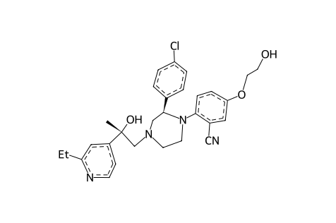 CCc1cc([C@](C)(O)CN2CCN(c3ccc(OCCO)cc3C#N)[C@H](c3ccc(Cl)cc3)C2)ccn1